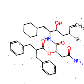 C=C[C@@H](C[C@H](O)[C@H](CC1CCCCC1)NC(=O)C(CC(N)=O)OC(=O)C(Cc1ccccc1)Cc1ccccc1)C(C)C